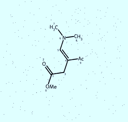 COC(=O)CC(=CN(C)C)C(C)=O